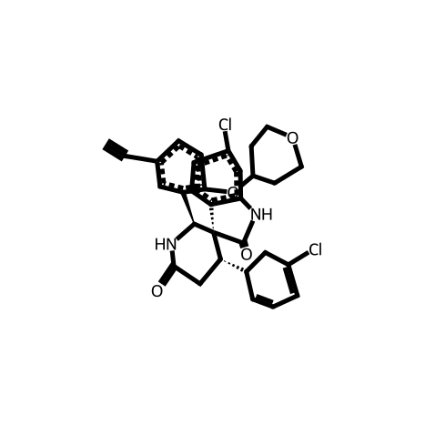 C#Cc1ccc(OC2CCOCC2)c([C@@H]2NC(=O)C[C@@H](C3C=CC=C(Cl)C3)[C@]23C(=O)Nc2cc(Cl)ccc23)c1